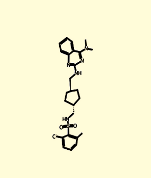 Cc1cccc(Cl)c1S(=O)(=O)NC[C@H]1CC[C@H](CNc2nc(N(C)C)c3ccccc3n2)CC1